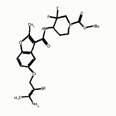 C/C(N)=C(/S)COc1ccc2oc(C)c(C(=O)NC3CCN(C(=O)OC(C)(C)C)CC3(F)F)c2c1